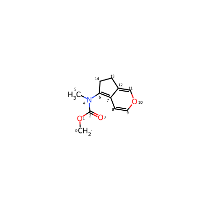 [CH2]OC(=O)N(C)C1=C2C=COC=C2CC1